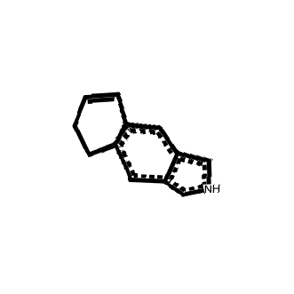 [c]1[nH]cc2cc3c(cc12)C=CCC3